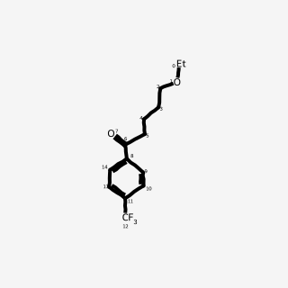 CCOCCCCC(=O)c1ccc(C(F)(F)F)cc1